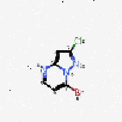 Clc1cc2nccc(Br)n2n1